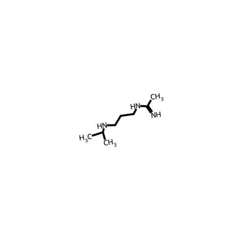 CC(=N)NCCCNC(C)C